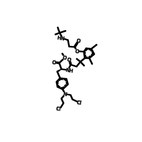 COC(=O)[C@H](Cc1ccc(N(CCCl)CCCl)cc1)NC(=O)CC(C)(C)c1c(C)cc(C)cc1OC(=O)CCNC(C)(C)C